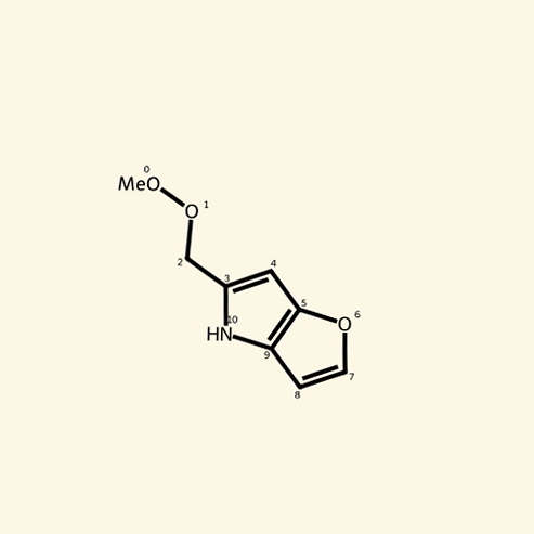 COOCc1cc2occc2[nH]1